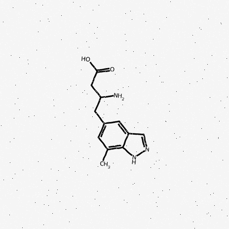 Cc1cc(CC(N)CC(=O)O)cc2cn[nH]c12